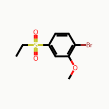 CCS(=O)(=O)c1ccc(Br)c(OC)c1